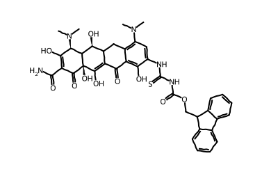 CN(C)c1cc(NC(=S)NC(=O)OCC2c3ccccc3-c3ccccc32)c(O)c2c1CC1C(=C(O)[C@]3(O)C(=O)C(C(N)=O)=C(O)[C@@H](N(C)C)C3[C@H]1O)C2=O